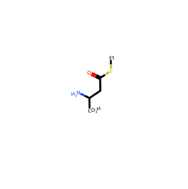 CCSC(=O)CC(N)C(=O)O